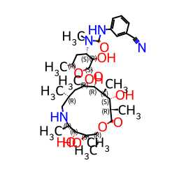 CC[C@H]1OC(=O)[C@H](C)[C@@H](O)[C@H](C)[C@@H](O[C@@H]2O[C@H](C)C[C@H](N(C)C(=O)Nc3cccc(C#N)c3)[C@H]2O)[C@](C)(O)C[C@@H](C)CN[C@H](C)[C@@H](O)[C@]1(C)O